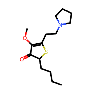 CCCCC1SC(CCN2CCCC2)=C(OC)C1=O